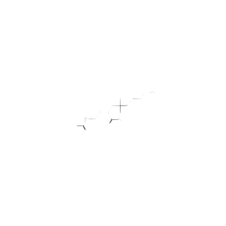 CC(C)(C)OC(=O)NCC[C@@H](CC(C)(C)N(CCCN)C(=O)O)C(N)=O